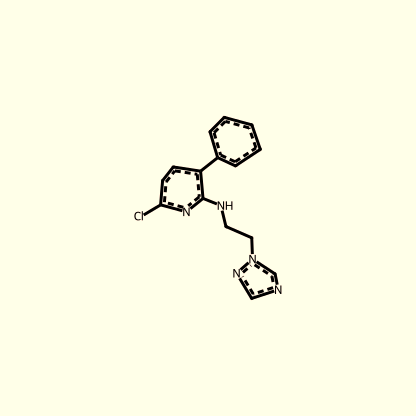 Clc1ccc(-c2ccccc2)c(NCCn2cncn2)n1